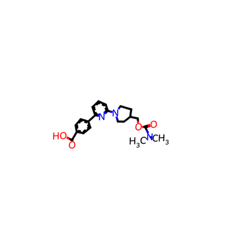 CN(C)C(=O)OCC1CCN(c2cccc(-c3ccc(C(=O)O)cc3)n2)CC1